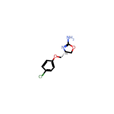 NC1=N[C@@H](COc2ccc(Cl)cc2)CO1